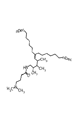 CCCCCCCCCCCCCCCCC(=CC(C)C(C)C(C)CNC(=O)CCCN(C)C)CCCCCCCCCCCCCCCC